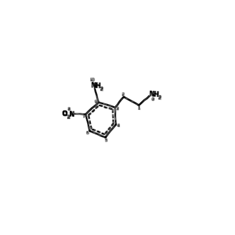 NCCc1cccc([N+](=O)[O-])c1N